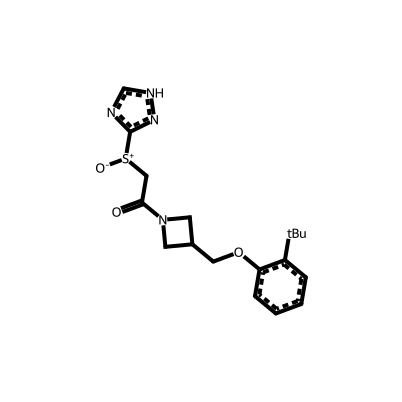 CC(C)(C)c1ccccc1OCC1CN(C(=O)C[S+]([O-])c2nc[nH]n2)C1